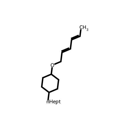 CC=CC=CCOC1CCC(CCCCCCC)CC1